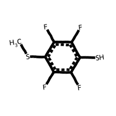 CSc1c(F)c(F)c(S)c(F)c1F